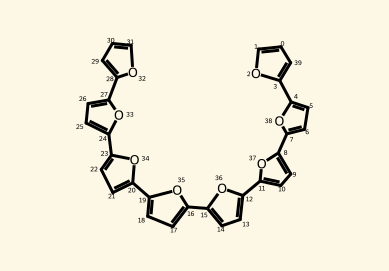 c1coc(-c2ccc(-c3ccc(-c4ccc(-c5ccc(-c6ccc(-c7ccc(-c8ccco8)o7)o6)o5)o4)o3)o2)c1